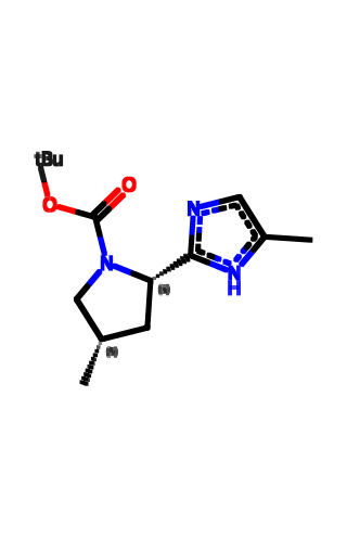 Cc1cnc([C@@H]2C[C@H](C)CN2C(=O)OC(C)(C)C)[nH]1